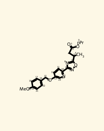 CCCOC(=O)CC(C)c1nc(-c2ccc(OCc3ccc(OC)cc3)cn2)no1